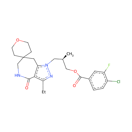 CCc1nn(C[C@@H](C)COC(=O)c2ccc(Cl)c(F)c2)c2c1C(=O)NCC1(CCOCC1)C2